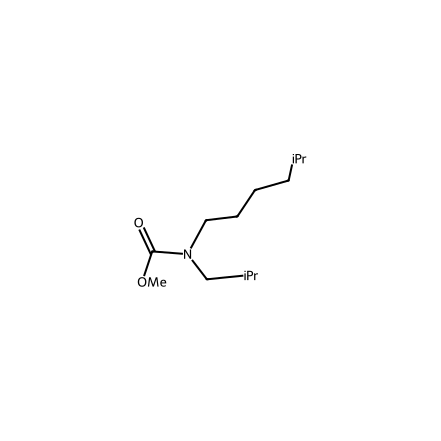 COC(=O)N(CCCCC(C)C)CC(C)C